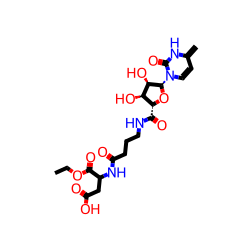 C=C1C=CN([C@@H]2O[C@H](C(=O)NCCCC(=O)NC(CC(=O)O)C(=O)OCC)[C@@H](O)[C@H]2O)C(=O)N1